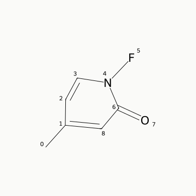 Cc1ccn(F)c(=O)c1